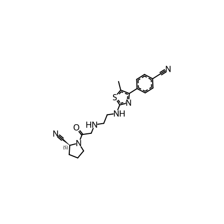 Cc1sc(NCCNCC(=O)N2CCC[C@H]2C#N)nc1-c1ccc(C#N)cc1